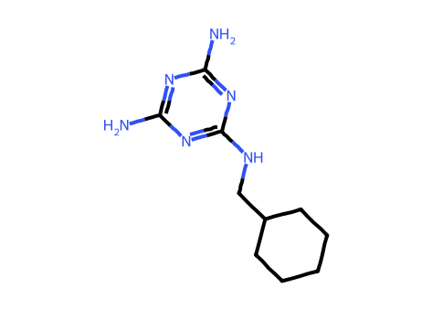 Nc1nc(N)nc(NCC2CCCCC2)n1